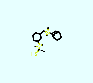 C[C@@H](S)S(C)(C)C1CCCC(CS(C)(C)C2CC3CCC2C3)C1